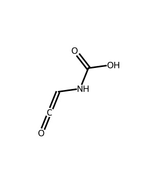 O=C=CNC(=O)O